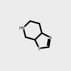 C1=NC2CCNCC2S1